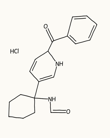 Cl.O=CNC1(C2=CNC(C(=O)c3ccccc3)C=C2)CCCCC1